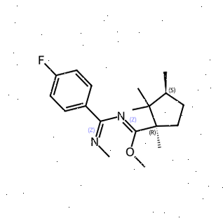 C/N=C(\N=C(/OC)[C@]1(C)CC[C@H](C)C1(C)C)c1ccc(F)cc1